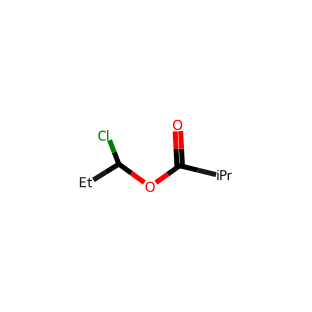 CCC(Cl)OC(=O)C(C)C